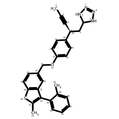 CC#C[C@@H](CC1NN=NN1)c1ccc(OCc2ccc3sc(C)c(-c4ccccc4C)c3c2)cc1